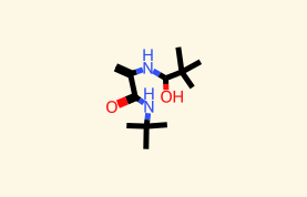 C=C(NC(O)C(C)(C)C)C(=O)NC(C)(C)C